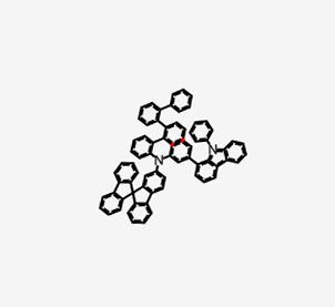 c1ccc(-c2ccccc2-c2ccccc2-c2ccccc2N(c2cccc(-c3cccc4c5ccccc5n(-c5ccccc5)c34)c2)c2ccc3c(c2)C2(c4ccccc4-c4ccccc42)c2ccccc2-3)cc1